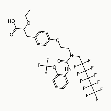 CCOC(Cc1ccc(OCCN(CC(F)(F)C(F)(F)C(F)(F)C(F)(F)C(F)(F)F)C(=O)Nc2ccccc2OC(F)(F)F)cc1)C(=O)O